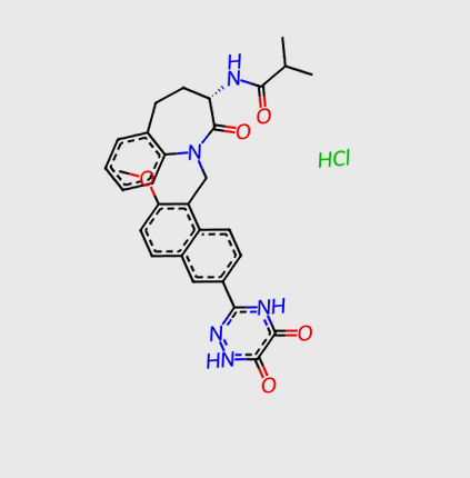 COc1ccc2cc(-c3n[nH]c(=O)c(=O)[nH]3)ccc2c1CN1C(=O)[C@@H](NC(=O)C(C)C)CCc2ccccc21.Cl